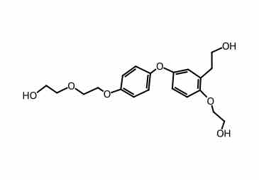 OCCOCCOc1ccc(Oc2ccc(OCCO)c(CCO)c2)cc1